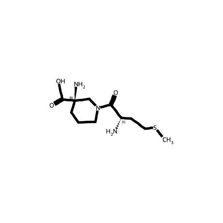 CSCC[C@H](N)C(=O)N1CCC[C@](N)(C(=O)O)C1